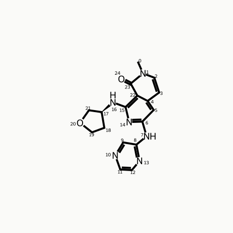 Cn1ccc2cc(Nc3cnccn3)nc(N[C@H]3CCOC3)c2c1=O